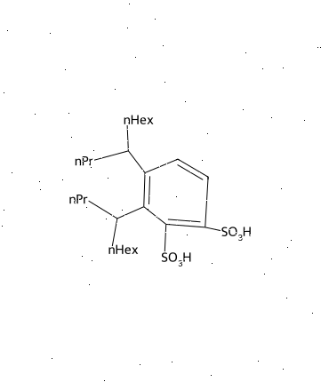 CCCCCCC(CCC)c1ccc(S(=O)(=O)O)c(S(=O)(=O)O)c1C(CCC)CCCCCC